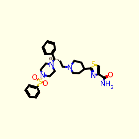 NC(=O)c1csc(C2CCN(CC[C@@H](c3ccccc3)N3CCN(S(=O)(=O)c4ccccc4)CC3)CC2)n1